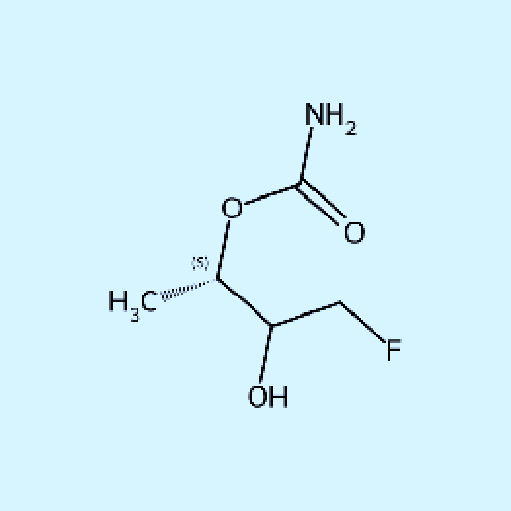 C[C@H](OC(N)=O)C(O)CF